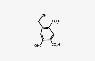 O=Cc1cc(CO)c(C(=O)O)cc1C(=O)O